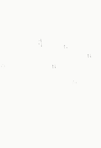 C=CC/C=N\c1nc(NC2CCOCC2)n(C)c1C(C)=O